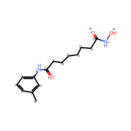 Cc1cccc(NC(=O)CCCCCCC(=O)NO)c1